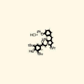 CCCC1CC(Cc2cccc(OC(C)C)c2)C(=N)N1CC(=O)c1cc(C(C)(C)C)c(O)c(C(C)(C)C)c1.Cl